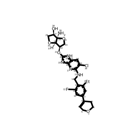 CCc1cc(C2=CCOCC2)cc(F)c1CNc1nc2nc(O[C@@H]3CO[C@]4(N)[C@H](O)CO[C@H]34)[nH]c2cc1Cl